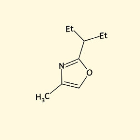 CCC(CC)c1nc(C)co1